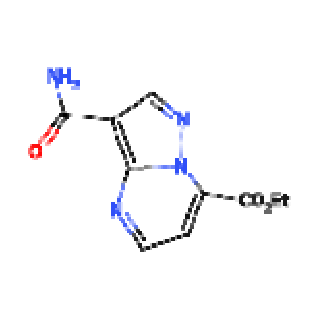 CCOC(=O)c1ccnc2c(C(N)=O)cnn12